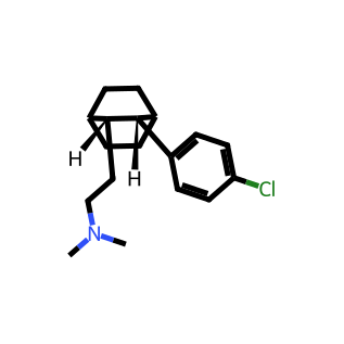 CN(C)CC[C@@H]1C2CCC(CC2)[C@@H]1c1ccc(Cl)cc1